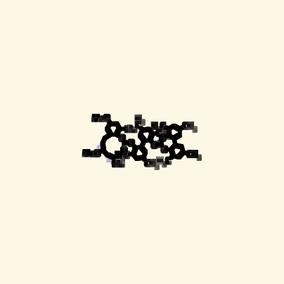 COC1=C/Cc2cc(OC)cc(C(C)(C)C)c2OP(Oc2c(C)cc(C)cc2-c2cc(C)cc(C)c2Op2oc3c(C)cc(C)cc3c3cc(C)cc(C)c3o2)OC/C(C(C)(C)C)=C\1